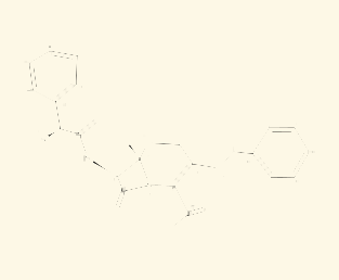 N[C@H](C(=O)N[C@@H]1C(=O)N2C(C(=O)O)=C(OCc3ccccc3)CS[C@@H]12)c1ccccc1